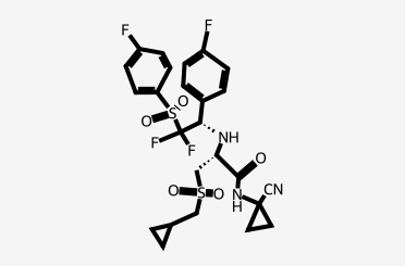 N#CC1(NC(=O)[C@H](CS(=O)(=O)CC2CC2)N[C@@H](c2ccc(F)cc2)C(F)(F)S(=O)(=O)c2ccc(F)cc2)CC1